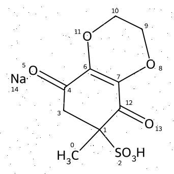 CC1(S(=O)(=O)O)CC(=O)C2=C(OCCO2)C1=O.[Na]